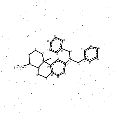 CC12CCCC(C(=O)O)C1CCc1ccc(N(Cc3ccccc3)Cc3ccccc3)cc12